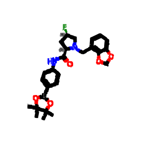 CC1(C)OB(c2ccc(NC(=O)[C@H]3C[C@H](F)CN3Cc3cccc4c3OCO4)cc2)OC1(C)C